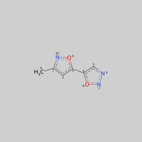 Cc1cc(-c2[c]nno2)on1